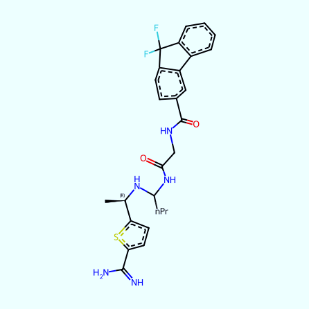 CCCC(NC(=O)CNC(=O)c1ccc2c(c1)-c1ccccc1C2(F)F)N[C@H](C)c1ccc(C(=N)N)s1